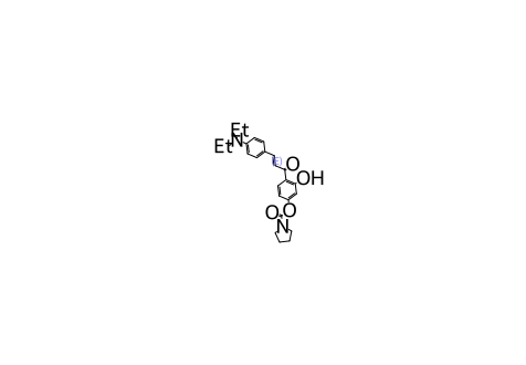 CCN(CC)c1ccc(/C=C/C(=O)c2ccc(OC(=O)N3CCCC3)cc2O)cc1